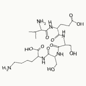 CC(C)C(N)C(=O)NC(CCC(=O)O)C(=O)NC(CO)C(=O)NC(CO)C(=O)NC(CCCCN)C(=O)O